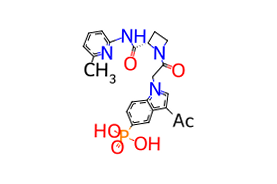 CC(=O)c1cn(CC(=O)N2CC[C@H]2C(=O)Nc2cccc(C)n2)c2ccc(P(=O)(O)O)cc12